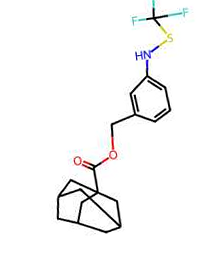 O=C(OCc1cccc(NSC(F)(F)F)c1)C12CC3CC(CC(C3)C1)C2